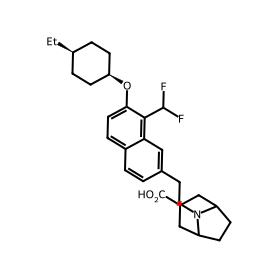 CC[C@H]1CC[C@@H](Oc2ccc3ccc(CCN4C5CCC4CC(C(=O)O)C5)cc3c2C(F)F)CC1